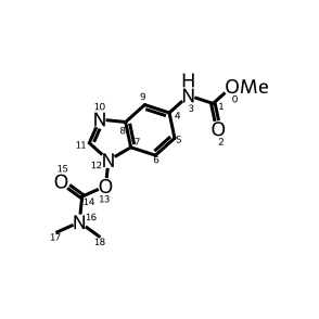 COC(=O)Nc1ccc2c(c1)ncn2OC(=O)N(C)C